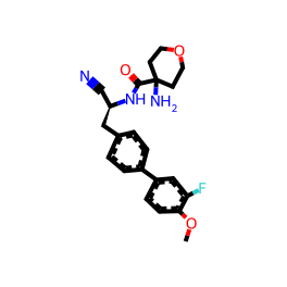 COc1ccc(-c2ccc(C[C@@H](C#N)NC(=O)C3(N)CCOCC3)cc2)cc1F